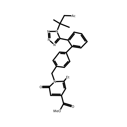 CCc1cc(C(=O)OC)cc(=O)n1Cc1ccc(-c2ccccc2-c2nnnn2C(C)(C)CC(C)=O)cc1